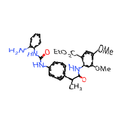 CCOC(=O)c1cc(OC)c(OC)cc1NC(=O)C(C)c1ccc(NC(=O)Nc2ccccc2N)cc1